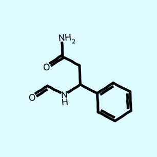 NC(=O)CC(NC=O)c1ccccc1